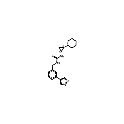 O=C(NCc1ccnc(-c2cnsc2)c1)N[C@@H]1C[C@H]1C1CCCCC1